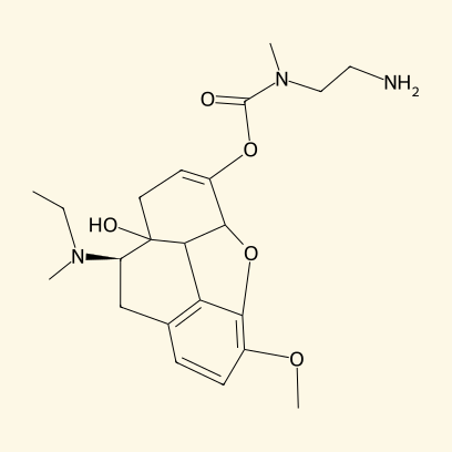 CCN(C)[C@@H]1Cc2ccc(OC)c3c2C2C(O3)C(OC(=O)N(C)CCN)=CCC21O